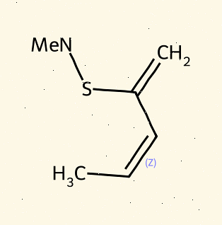 C=C(/C=C\C)SNC